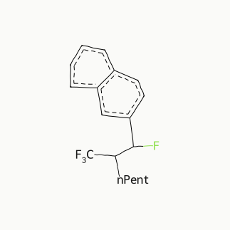 CCCCCC(C(F)c1ccc2ccccc2c1)C(F)(F)F